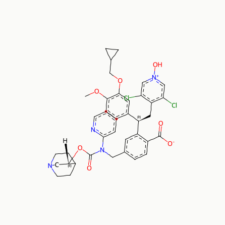 COc1ccc([C@@H](Cc2c(Cl)c[n+](O)cc2Cl)c2cc(CN(C(=O)O[C@H]3CN4CCC3CC4)c3ccccn3)ccc2C(=O)[O-])cc1OCC1CC1